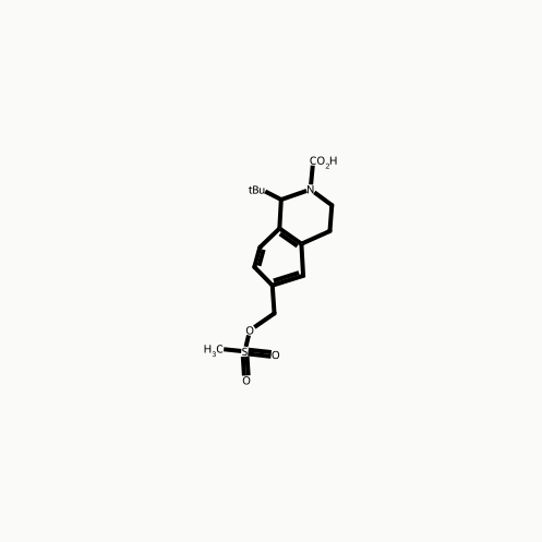 CC(C)(C)C1c2ccc(COS(C)(=O)=O)cc2CCN1C(=O)O